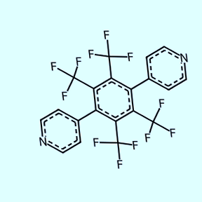 FC(F)(F)c1c(-c2ccncc2)c(C(F)(F)F)c(C(F)(F)F)c(-c2ccncc2)c1C(F)(F)F